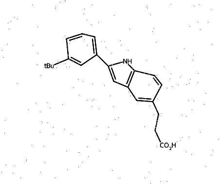 CC(C)(C)c1cccc(-c2cc3cc(CCC(=O)O)ccc3[nH]2)c1